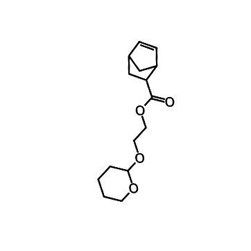 O=C(OCCOC1CCCCO1)C1CC2C=CC1C2